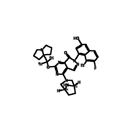 [2H]C([2H])(Oc1nc(N2C[C@H]3CC[C@@H](C2)N3)c2cnn(-c3cc(O)cc4ccc(F)c(CC)c34)c(=O)c2n1)C12CCCN1CCC2